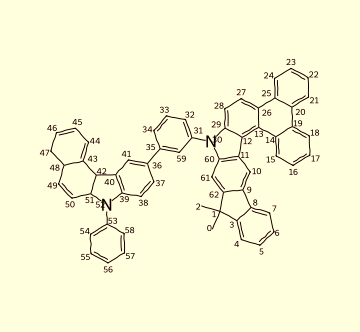 CC1(C)c2ccccc2-c2cc3c4c5c6ccccc6c6ccccc6c5ccc4n(-c4cccc(-c5ccc6c(c5)C5C7=CC=CCC7C=CC5N6c5ccccc5)c4)c3cc21